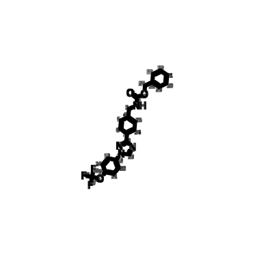 O=C(NCc1ccc(-c2ncn(-c3ccc(OC(F)(F)F)cc3)n2)cc1)OCc1ccccc1